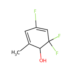 CC1=CC(F)=CC(F)(F)C1O